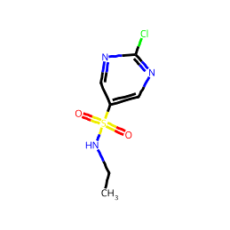 CCNS(=O)(=O)c1cnc(Cl)nc1